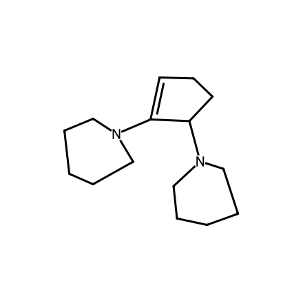 C1=C(N2CCCCC2)C(N2CCCCC2)CC1